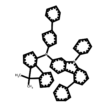 CC1(C)c2ccccc2-c2c(N(c3ccc(-c4ccccc4)cc3)c3ccc4c5c(-c6ccccc6)cccc5n(-c5ccccc5)c4c3)cccc21